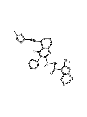 C[C@H](NC(=O)c1c(N)nn2ncncc12)c1nc2cccc(C#Cc3ccn(C)n3)c2c(=O)n1-c1ccccc1